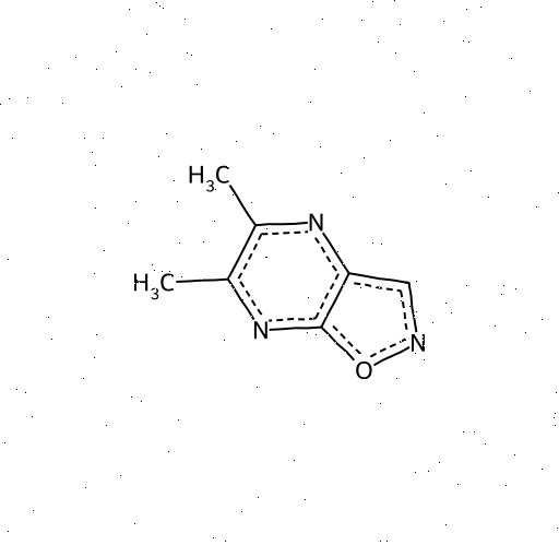 Cc1nc2cnoc2nc1C